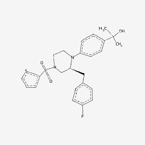 CC(C)(O)c1ccc(N2CCN(S(=O)(=O)c3cccs3)C[C@@H]2Cc2ccc(F)cc2)cc1